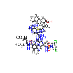 CN(Cc1cnc2nc(N)nc(N)c2n1)c1ccc(C(=O)N[C@@H](CCC(=O)O)C(=O)O)cc1.Cn1cnc([N+](=O)[O-])c1Sc1ncnc2nc[nH]c12.O=P1(N(CCCl)CCCl)NCCCO1.OC1CCC2C(CCC3C4CCCC4CCC23)C1